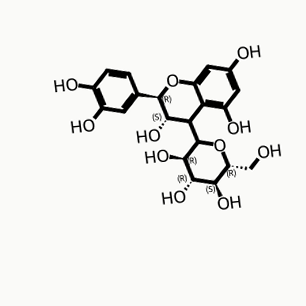 OC[C@H]1OC(C2c3c(O)cc(O)cc3O[C@H](c3ccc(O)c(O)c3)[C@H]2O)[C@H](O)[C@@H](O)[C@@H]1O